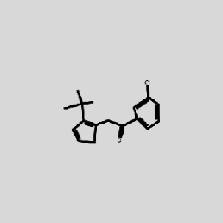 CC(C)(C)C1=C(CC(=O)c2cccc(Cl)c2)CC=C1